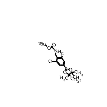 CC(C)(C)OC(=O)NCc1c(F)cc(B2OC(C)(C)C(C)(C)O2)cc1Cl